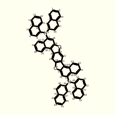 c1ccc2cc(N(c3cccc4ccccc34)c3cc4oc5cc6c(cc5c4c4ccccc34)oc3cc(N(c4ccc5ccccc5c4)c4cccc5ccccc45)c4ccccc4c36)ccc2c1